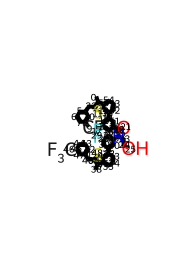 Cc1c(Cc2cccc(C(F)(F)F)c2)sc2c(-c3cc(F)cc(C(=O)N(CCO)c4cc(F)cc(-c5cccc6c(C)c(Cc7cccc(C(F)(F)F)c7)sc56)c4)c3)cccc12